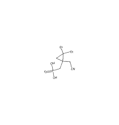 CCC1(CC)CC1(CC#N)CP(=O)(O)O